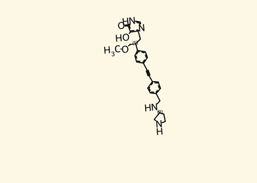 COC[C@@H](Cc1nc[nH]c(=O)c1O)c1ccc(C#Cc2ccc(CN[C@@H]3CCNC3)cc2)cc1